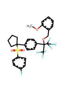 COc1ccccc1COC(c1ccc(C2(S(=O)(=O)c3ccc(F)cc3)CCCC2)cc1)(C(F)(F)F)C(F)(F)F